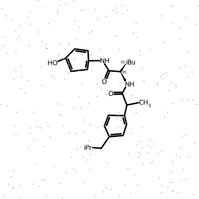 CC[C@H](C)[C@@H](NC(=O)C(C)c1ccc(CC(C)C)cc1)C(=O)Nc1ccc(O)cc1